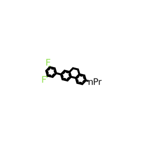 CCCc1ccc2c(c1)CCc1cc(-c3cc(F)cc(F)c3)ccc1-2